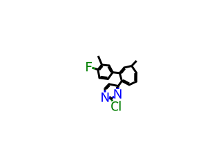 Cc1cc(C2=CC(C)C=CC=C2c2ccnc(Cl)n2)ccc1F